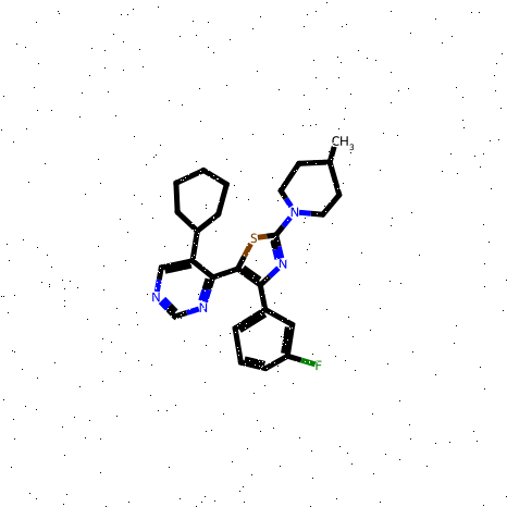 CC1CCN(c2nc(-c3cccc(F)c3)c(-c3n[c]ncc3C3CCCCC3)s2)CC1